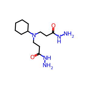 NNC(=O)CCN(CCC(=O)NN)C1CCCCC1